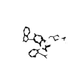 CC(C)c1ccccc1-n1c(=O)c(=O)n(CC2CN(C(=O)O)C2)c2cc(Cl)c(-c3cc(O)cc4ccccc34)cc21